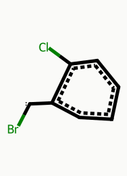 Clc1ccccc1[C]Br